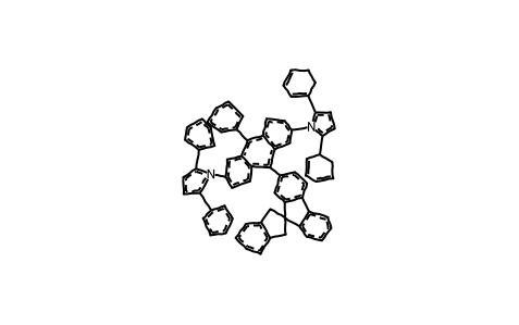 C1=CCCC(c2ccc(C3C=CC=CC3)n2-c2ccc3c(-c4ccccc4)c4cc(-n5c(-c6ccccc6)ccc5-c5ccccc5)ccc4c(-c4ccc5c(c4)C4(Cc6ccccc6C4)c4ccccc4-5)c3c2)=C1